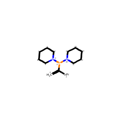 C=C(CCC)P(N1CCCCC1)N1CCCCC1